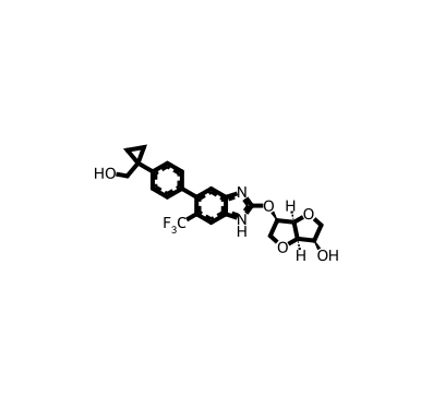 OCC1(c2ccc(-c3cc4nc(O[C@@H]5CO[C@H]6[C@@H]5OC[C@H]6O)[nH]c4cc3C(F)(F)F)cc2)CC1